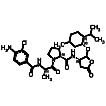 CC1CC[C@@H](C(C)C)[C@H](OC2OC(=O)C[C@@H]2NC(=O)[C@@H]2CCCN2C(=O)[C@H](C)NC(=O)c2ccc(N)c(Cl)c2)C1